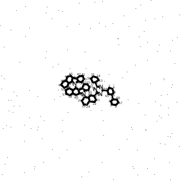 c1ccc(-c2cccc(-c3nc(-c4ccccc4)nc(-c4ccc5cccc(-n6c7ccccc7c7c(-n8c9ccccc9c9ccc%10ccccc%10c98)c8ccccc8cc76)c5c4)n3)c2)cc1